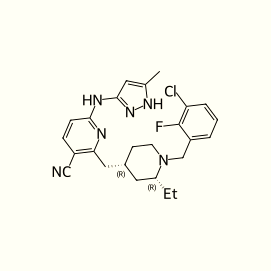 CC[C@@H]1C[C@H](Cc2nc(Nc3cc(C)[nH]n3)ccc2C#N)CCN1Cc1cccc(Cl)c1F